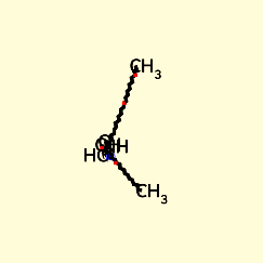 CCCCCCCCCCCCC/C=C/[C@@H](O)[C@H](CO)NC(=O)CCCCCCCCCCCCCCCCCCCCCCCC